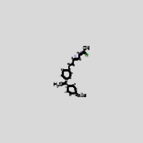 C=C([C@H]1CC[C@H](CC/C=C/C=C(\F)C#N)CC1)[C@H]1CC[C@H](CCCC)CC1